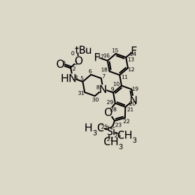 CC(C)(C)OC(=O)NC1CCN(c2c(-c3cc(F)cc(F)c3)cnc3cc([Si](C)(C)C)oc23)CC1